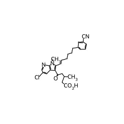 CC(CC(=O)O)CC(=O)c1c(CCCCCCc2cccc(C#N)c2)n(C)c2ncc(Cl)cc12